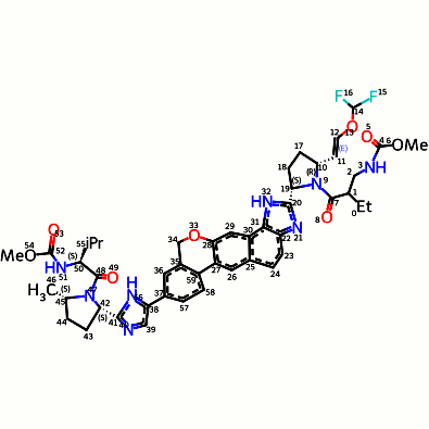 CCC(CNC(=O)OC)C(=O)N1[C@@H](/C=C/OC(F)F)CC[C@H]1c1nc2ccc3cc4c(cc3c2[nH]1)OCc1cc(-c2cnc([C@@H]3CC[C@H](C)N3C(=O)[C@@H](NC(=O)OC)C(C)C)[nH]2)ccc1-4